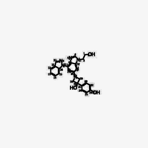 OCCn1cnc2c(-n3ncc4ccccc43)nc(N3CC(O)(c4ccc(O)cc4)C3)nc21